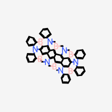 c1ccc2c(c1)B1c3ccccc3N3c4ccccc4B4CN5CB6CN7c8ccccc8B8c9ccccc9N9c%10ccccc%10B%10CN%11CB%12CN2c2c1c3c4c1c5c3c6c4c7c8c9c%10c4c%11c3c%12c21